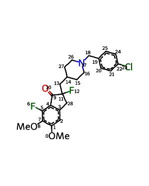 COc1cc2c(c(F)c1OC)C(=O)C(F)(CC1CCN(Cc3ccc(Cl)cc3)CC1)C2